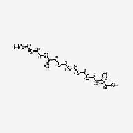 O=C(CSCSCSCSCC[S+]([O-])CS)OCCSCO